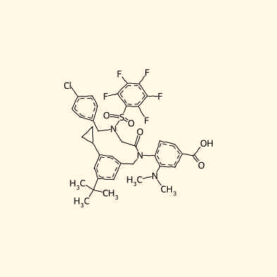 CN(C)c1cc(C(=O)O)ccc1N(Cc1cc(C2CC2)cc(C(C)(C)C)c1)C(=O)CN(Cc1ccc(Cl)cc1)S(=O)(=O)c1c(F)c(F)c(F)c(F)c1F